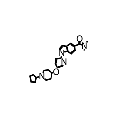 CN(C)C(=O)c1ccc2c(ccn2-c2ccc(OC3CCN(C4CCCC4)CC3)cn2)c1